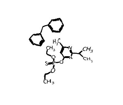 CCOP(=S)(OCC)Oc1cc(C)nc(C(C)C)n1.c1ccc(Cc2ccccc2)cc1